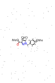 COC(=O)c1nn(Cc2ccc(OC)cc2)cc1C=O